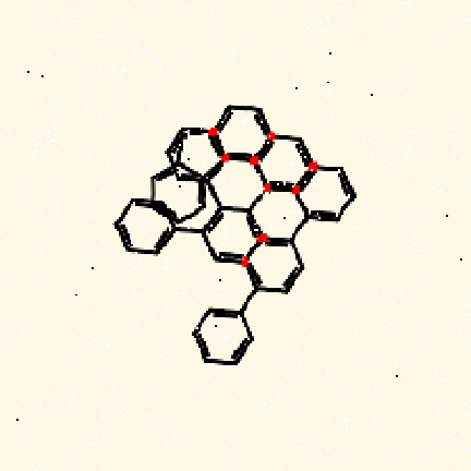 c1ccc(-c2ccc(-c3ccccc3N(c3cccc(-c4ccccc4)c3-c3ccccc3-c3ccccc3)c3cccc4sc5ccccc5c34)cc2)cc1